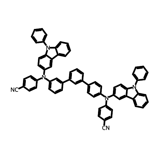 N#Cc1ccc(N(c2ccc(-c3cccc(-c4cccc(N(c5ccc(C#N)cc5)c5ccc6c(c5)c5ccccc5n6-c5ccccc5)c4)c3)cc2)c2ccc3c(c2)c2ccccc2n3-c2ccccc2)cc1